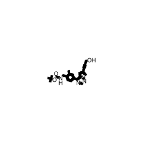 Cc1cc(-c2ncnn3cc(C#CCO)cc23)ccc1CNC(=O)OC(C)(C)C